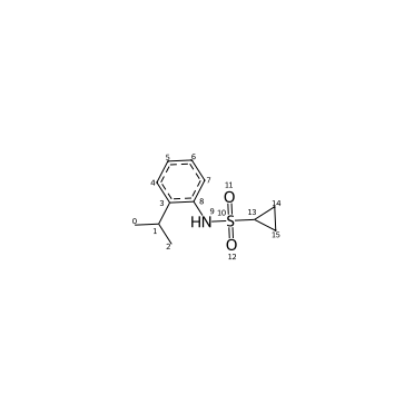 CC(C)c1ccccc1NS(=O)(=O)C1CC1